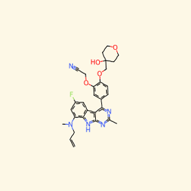 C=CCN(C)c1cc(F)cc2c1[nH]c1nc(C)nc(-c3ccc(OCC4(O)CCOCC4)c(OCC#N)c3)c12